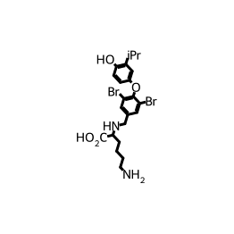 CC(C)c1cc(Oc2c(Br)cc(CNC(CCCCN)C(=O)O)cc2Br)ccc1O